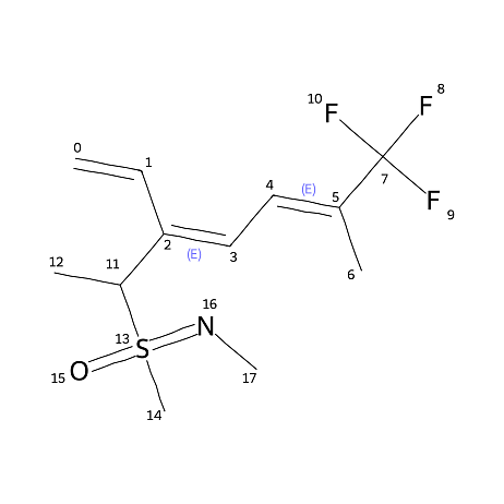 C=C/C(=C\C=C(/C)C(F)(F)F)C(C)S(C)(=O)=NC